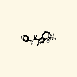 Cn1cc2c(c1C(=O)Nc1ccncc1)C=CCNS2(=N)=O